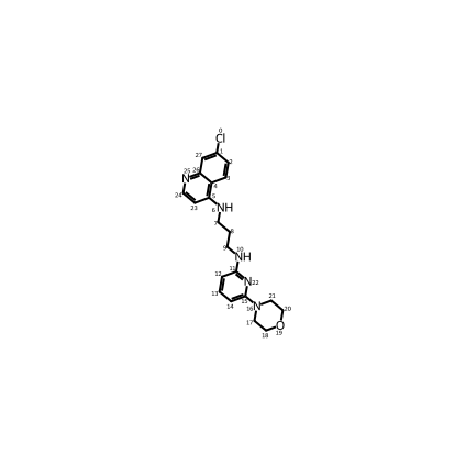 Clc1ccc2c(NCCCNc3cccc(N4CCOCC4)n3)ccnc2c1